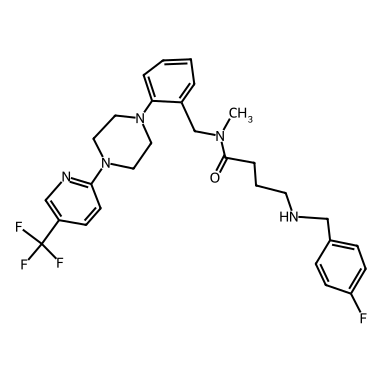 CN(Cc1ccccc1N1CCN(c2ccc(C(F)(F)F)cn2)CC1)C(=O)CCCNCc1ccc(F)cc1